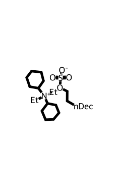 CCCCCCCCCCCCOS(=O)(=O)[O-].CC[N+](CC)(C1CCCCC1)C1CCCCC1